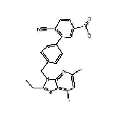 CCc1nc2c(C)cc(C)nc2n1Cc1ccc(-c2cc([N+](=O)[O-])ccc2C#N)cc1